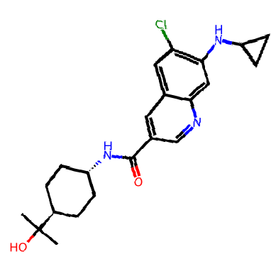 CC(C)(O)[C@H]1CC[C@H](NC(=O)c2cnc3cc(NC4CC4)c(Cl)cc3c2)CC1